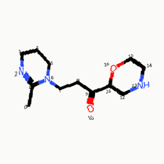 CC1=NCCCN1CCC(=O)C1CNCCO1